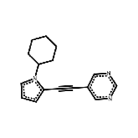 C(#Cc1cccn1C1CCCCC1)c1cncnc1